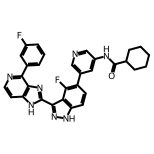 O=C(Nc1cncc(-c2ccc3[nH]nc(-c4nc5c(-c6cccc(F)c6)nccc5[nH]4)c3c2F)c1)C1CCCCC1